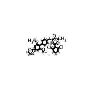 COC(=O)[C@H](Cc1ccc(-c2c(OC)cc(C3OCCO3)cc2OC)cc1)NC(=O)c1c(Cl)cccc1Cl